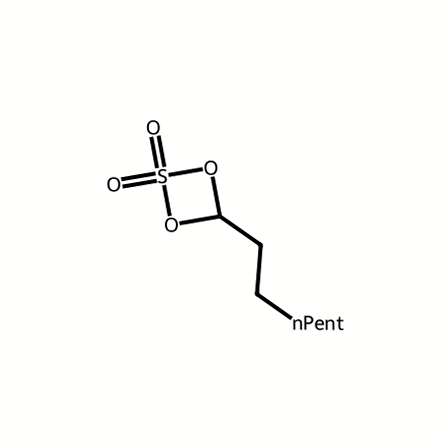 CCCCCCCC1OS(=O)(=O)O1